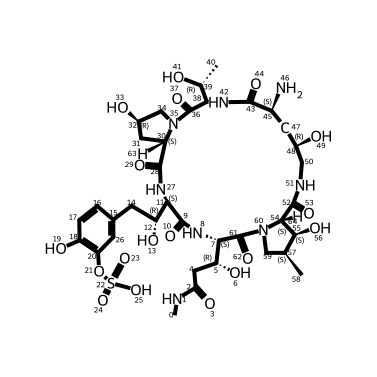 CNC(=O)C[C@@H](O)[C@@H]1NC(=O)[C@H]([C@H](O)Cc2ccc(O)c(OS(=O)(=O)O)c2)NC(=O)[C@@H]2C[C@@H](O)CN2C(=O)C([C@@H](C)O)NC(=O)[C@@H](N)C[C@@H](O)CNC(=O)[C@@H]2[C@@H](O)[C@@H](C)CN2C1=O